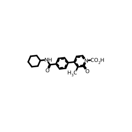 Cc1c(-c2ccc(C(=O)NC3CCCCC3)cc2)ccn(C(=O)O)c1=O